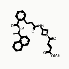 COC(=O)/C=C/C(=O)N1CC(NC(=O)CCc2ccccc2C(=O)N[C@H](C)c2cccc3ccccc23)C1